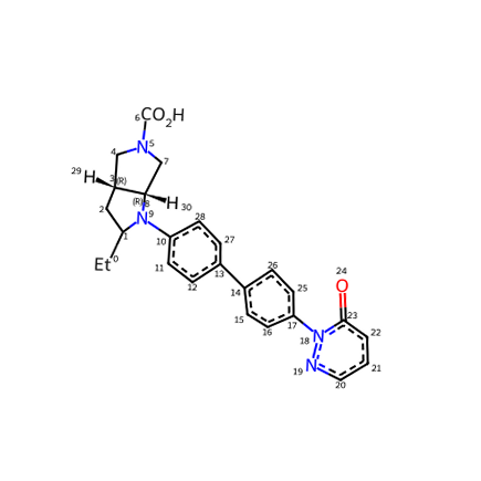 CCC1C[C@@H]2CN(C(=O)O)C[C@@H]2N1c1ccc(-c2ccc(-n3ncccc3=O)cc2)cc1